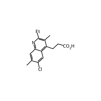 CCc1nc2cc(C)c(Cl)cc2c(CCC(=O)O)c1C